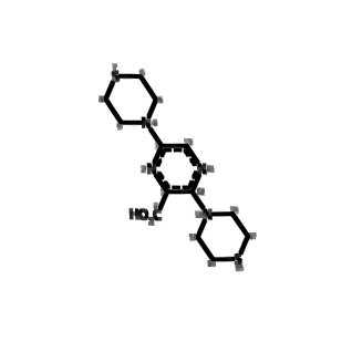 O=C(O)c1nc(N2CCSCC2)cnc1N1CCSCC1